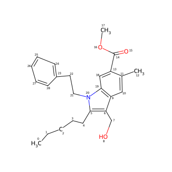 CCCCCc1c(CO)c2cc(C)c(C(=O)OC)cc2n1CCc1ccccc1